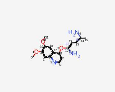 COc1cc2nccc(O/C(N)=C/C=C(/C)N)c2cc1OC